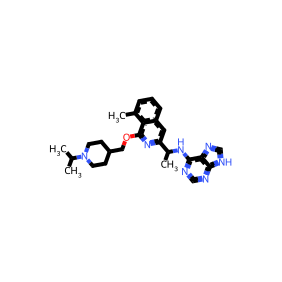 Cc1cccc2cc(C(C)Nc3ncnc4[nH]cnc34)nc(OCC3CCN(C(C)C)CC3)c12